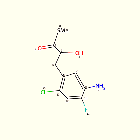 CSC(=O)C(O)Cc1cc(N)c(F)cc1Cl